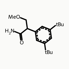 COCC(C(N)=O)c1cc(C(C)(C)C)cc(C(C)(C)C)c1